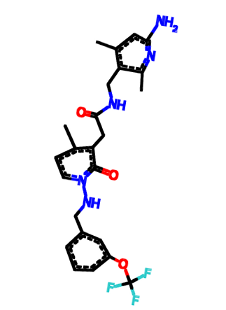 Cc1cc(N)nc(C)c1CNC(=O)Cc1c(C)ccn(NCc2cccc(OC(F)(F)F)c2)c1=O